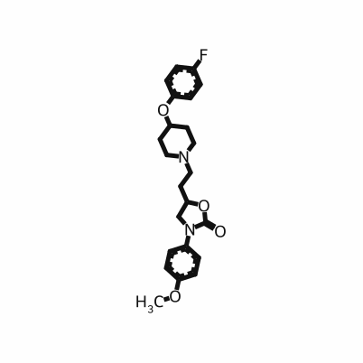 COc1ccc(N2CC(CCN3CCC(Oc4ccc(F)cc4)CC3)OC2=O)cc1